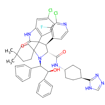 CC1(C)CCC2(CC1)N([C@H](c1ccccc1)[C@@H](O)c1ccccc1)[C@@H](C(=O)N[C@H]1CC[C@H](c3nnc[nH]3)CC1)[C@H](c1ccnc(Cl)c1F)C21C(=O)Nc2cc(Cl)ccc21